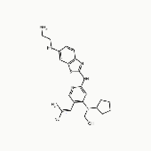 N#C/C(N)=C/c1cnc(Nc2nc3ccc(NCCN)cc3s2)nc1N(CO)C1CCCC1